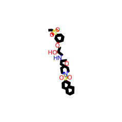 CCS(=O)(=O)c1cccc(OCC(O)CN[C@@H]2COC3(CCN(S(=O)(=O)c4ccc5ccccc5c4)CC3)C2)c1